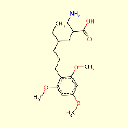 CCC(CCCc1c(OC)cc(OC)cc1OC)CC(CN)C(=O)O